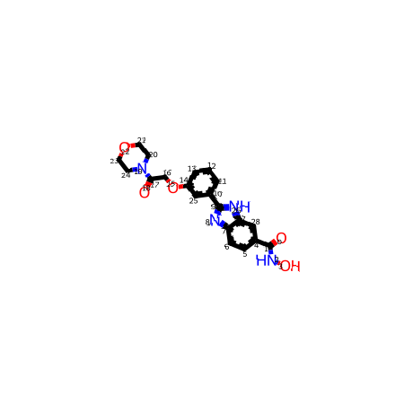 O=C(NO)c1ccc2nc(-c3cccc(OCC(=O)N4CCOCC4)c3)[nH]c2c1